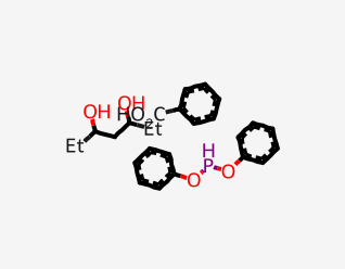 CCC(O)CC(O)CC.O=C(O)c1ccccc1.c1ccc(OPOc2ccccc2)cc1